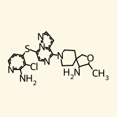 CC1OCC2(CCN(c3ncc(Sc4ccnc(N)c4Cl)n4nccc34)CC2)C1N